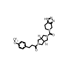 O=C(CCc1ccc(OC(F)(F)F)cc1)N1C[C@@H]2CN(C(=O)N3CCc4[nH]nnc4C3)C[C@H]2C1